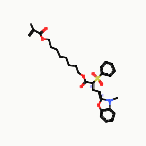 C=C(C)C(=O)OCCCCCCCCOC(=O)/C(=C/C=C1\Oc2ccccc2N1C)S(=O)(=O)c1ccccc1